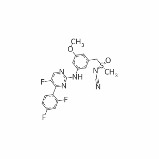 COc1cc(CS(C)(=O)=NC#N)cc(Nc2ncc(F)c(-c3ccc(F)cc3F)n2)c1